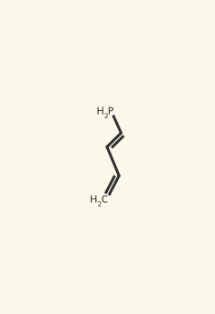 C=C/C=C/P